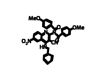 COc1ccc(C(=O)N(C(=O)c2ccc(OC)cc2)c2nc3ccc([N+](=O)[O-])cc3c(NCc3ccccc3)c2C#N)cc1